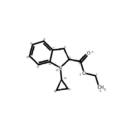 CCOC(=O)C1Cc2ccccc2N1C1CC1